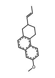 CC=CC1CCc2c(ccc3cc(OC)ccc23)C1